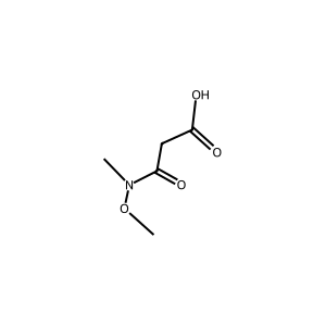 CON(C)C(=O)CC(=O)O